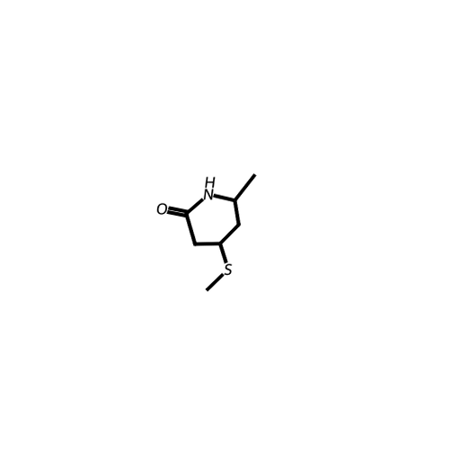 CSC1CC(=O)NC(C)C1